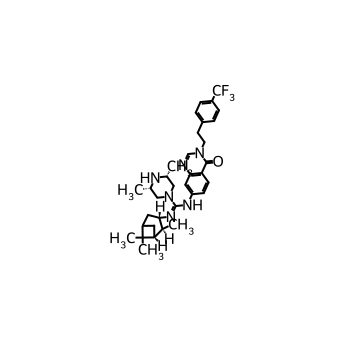 C[C@@H]1[C@@H](/N=C(/Nc2ccc3c(=O)n(CCc4ccc(C(F)(F)F)cc4)cnc3c2)N2C[C@@H](C)N[C@@H](C)C2)CC2C[C@H]1C2(C)C